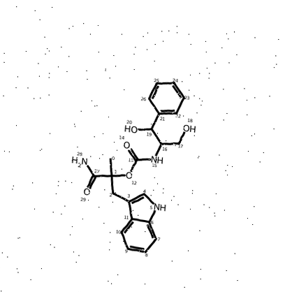 CC(Cc1c[nH]c2ccccc12)(OC(=O)NC(CO)C(O)c1ccccc1)C(N)=O